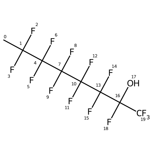 CC(F)(F)C(F)(F)C(F)(F)C(F)(F)C(F)(F)C(O)(F)C(F)(F)F